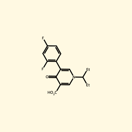 CCC(CC)n1cc(C(=O)O)c(=O)c(-c2ccc(F)cc2F)c1